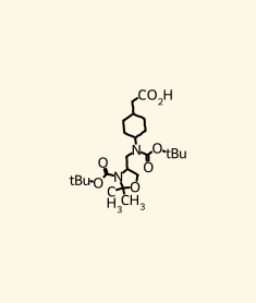 CC(C)(C)OC(=O)N(CC1COC(C)(C)N1C(=O)OC(C)(C)C)C1CCC(CC(=O)O)CC1